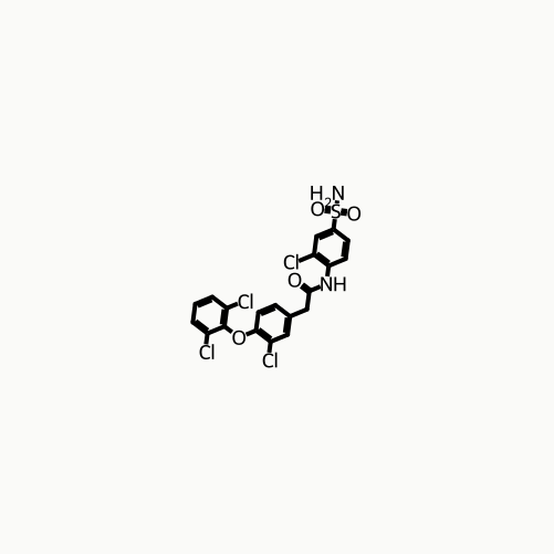 NS(=O)(=O)c1ccc(NC(=O)Cc2ccc(Oc3c(Cl)cccc3Cl)c(Cl)c2)c(Cl)c1